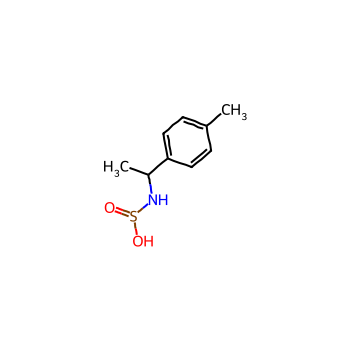 Cc1ccc(C(C)NS(=O)O)cc1